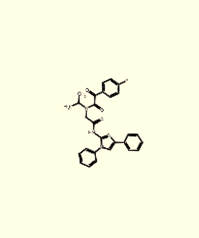 CC(C)N(CC(=O)Nc1nc(-c2ccccc2)cn1-c1ccccc1)C(=O)C(=O)c1ccc(F)cc1